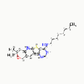 CCCCCCCCNc1ncnc2c1sc1nc3c(cc12)COC(C)(C)C3